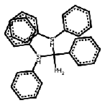 PC(c1ccccc1)([SiH](c1ccccc1)c1ccccc1)[SiH](c1ccccc1)c1ccccc1